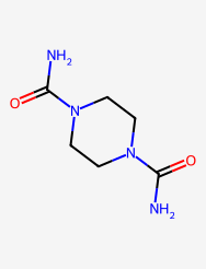 NC(=O)N1CCN(C(N)=O)CC1